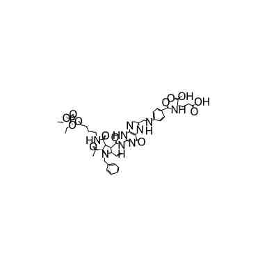 C=C[C@@H]1C(C(=O)Nc2nc(=O)c3nc(CNc4ccc(C(=O)N[C@H](CCC(=O)O)C(=O)O)cc4)cnc3[nH]2)C(C(=O)NCCCCOP(=O)(OCC)OCC)[C@H](C(C)=O)N1Cc1ccccc1